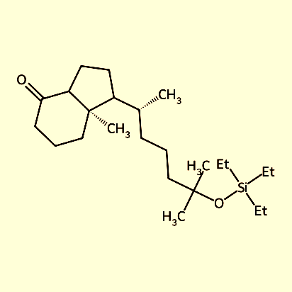 CC[Si](CC)(CC)OC(C)(C)CCC[C@@H](C)C1CCC2C(=O)CCC[C@@]21C